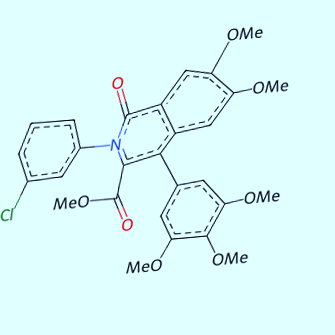 COC(=O)c1c(-c2cc(OC)c(OC)c(OC)c2)c2cc(OC)c(OC)cc2c(=O)n1-c1cccc(Cl)c1